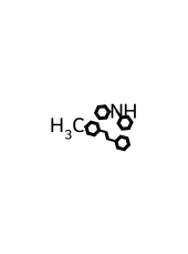 Cc1ccc(C=Cc2ccccc2)cc1.c1ccc(Nc2ccccc2)cc1